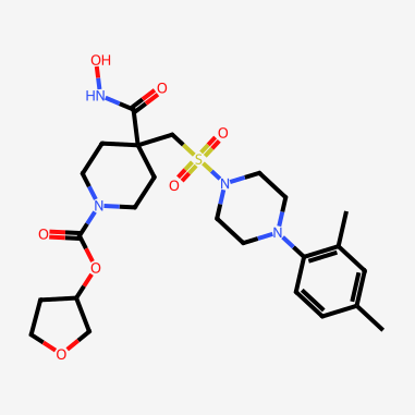 Cc1ccc(N2CCN(S(=O)(=O)CC3(C(=O)NO)CCN(C(=O)OC4CCOC4)CC3)CC2)c(C)c1